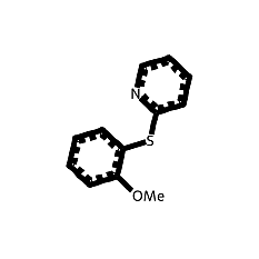 COc1ccccc1Sc1ccccn1